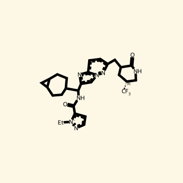 CCn1nccc1C(=O)NC(c1cn2nc(CC3C[C@@H](C(F)(F)F)CNC3=O)ccc2n1)C1CCC2CC2CC1